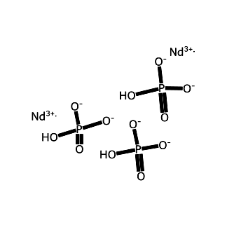 O=P([O-])([O-])O.O=P([O-])([O-])O.O=P([O-])([O-])O.[Nd+3].[Nd+3]